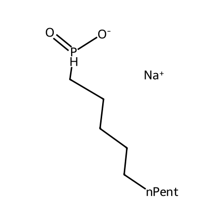 CCCCCCCCCC[PH](=O)[O-].[Na+]